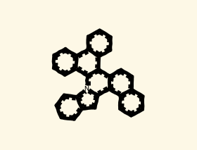 c1ccc2c(c1)ccc1c2c2cc3ccccc3n2c2c3ccccc3c3ccccc3c12